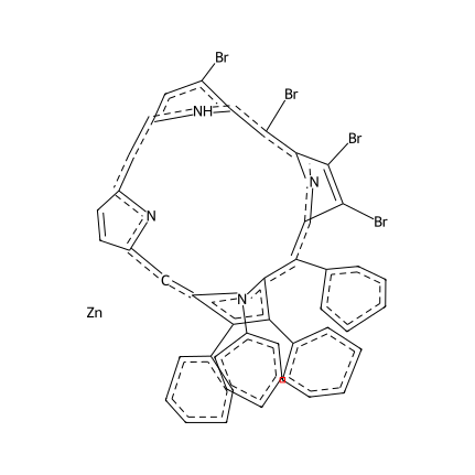 BrC1=C(Br)c2nc1c(Br)c1[nH]c(cc3nc(cc4c(-c5ccccc5)c(-c5ccccc5)c(c2-c2ccccc2)n4-c2ccccc2)C=C3)cc1Br.[Zn]